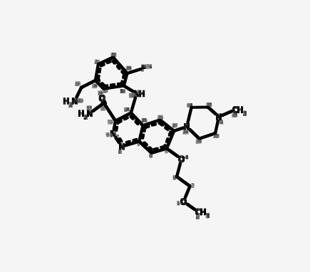 COCCOc1cc2nnc(C(N)=O)c(Nc3cc(CN)ccc3F)c2cc1N1CCN(C)CC1